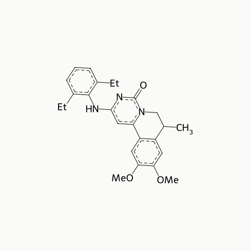 CCc1cccc(CC)c1Nc1cc2n(c(=O)n1)CC(C)c1cc(OC)c(OC)cc1-2